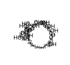 C[C@@H]1OC(=O)CC(O)CC(O)CCC(O)C(O)CC(O)CC2(O)C[C@H](O)C(C(=O)O)[C@H](CC(OC3OCC(O)[C@H](N)C3O)/C=C/C=C/C=C/C=C/C=C/C=C/C=C/[C@H](C)C(O)[C@H]1C)O2